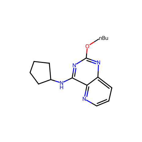 CCCCOc1nc(NC2CCCC2)c2ncccc2n1